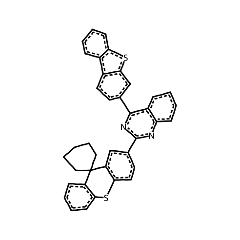 c1ccc2c(c1)Sc1ccc(-c3nc(-c4ccc5c(c4)sc4ccccc45)c4ccccc4n3)cc1C21CCCCC1